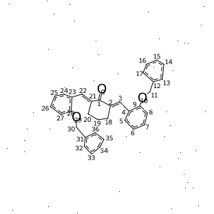 O=C1/C(=C/c2ccccc2OCc2ccccc2)CCC/C1=C\c1ccccc1OCc1ccccc1